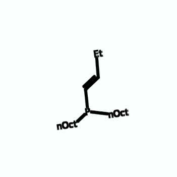 CCC=CP(CCCCCCCC)CCCCCCCC